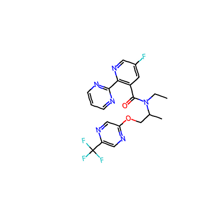 CCN(C(=O)c1cc(F)cnc1-c1ncccn1)C(C)COc1cnc(C(F)(F)F)cn1